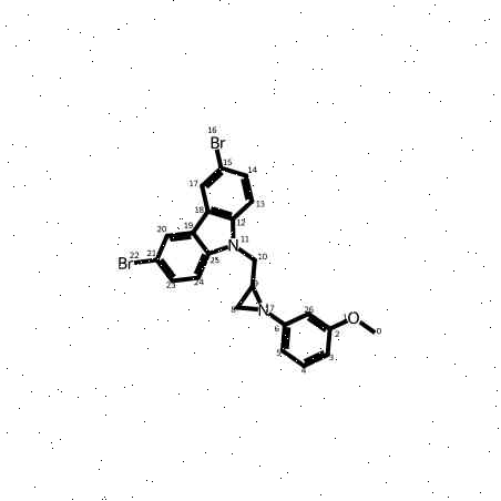 COc1cccc(N2CC2Cn2c3ccc(Br)cc3c3cc(Br)ccc32)c1